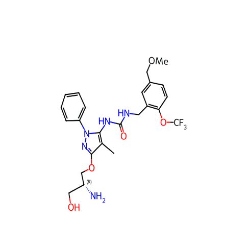 COCc1ccc(OC(F)(F)F)c(CNC(=O)Nc2c(C)c(OC[C@H](N)CO)nn2-c2ccccc2)c1